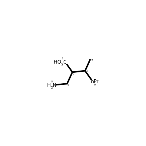 CCCC(C)C(CN)C(=O)O